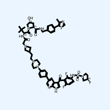 Cc1ncsc1-c1ccc(CNC(=O)[C@@H]2C[C@@H](O)CN2C(=O)[C@@H](NC(=O)CN2CC(CCN3CCN(c4ccc(-c5cnc6[nH]cc(C(=O)c7c(F)ccc(NS(=O)(=O)N8CC[C@@H](F)C8)c7F)c6c5)cc4)CC3)C2)C(C)(C)C)cc1